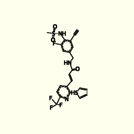 C#Cc1cc(CNC(=O)C=Cc2ccc(C(F)(F)F)nc2[SH]2C=CC=C2)cc(F)c1NS(C)(=O)=O